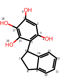 Oc1cc(O)c(C2CCc3ccccc32)c(O)c1O